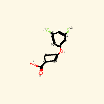 O=C(O)C1CC(Oc2cc(F)cc(F)c2)C1